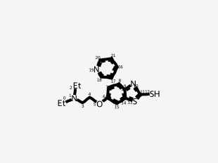 CCN(CC)CCOc1ccc2nc(S)sc2c1.c1ccncc1